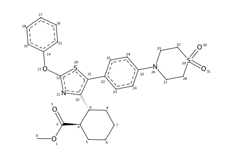 COC(=O)[C@@H]1CCCC[C@H]1c1nc(Oc2ccccc2)sc1-c1ccc(N2CCS(=O)(=O)CC2)cc1